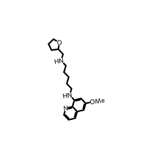 COc1cc(NCCCCCNCC2CCCO2)c2ncccc2c1